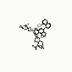 C=C(F)C(=O)N1CCN(c2nc(N3CC(CC#N)(N(C)C)C3)nc3cc(-c4cccc5cccc(Cl)c45)c4ccoc4c23)CC1CC#N